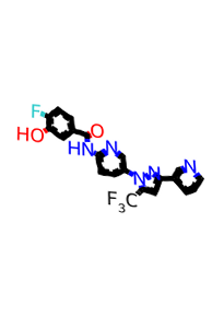 O=C(Nc1ccc(-n2nc(-c3cccnc3)cc2C(F)(F)F)cn1)c1ccc(F)c(O)c1